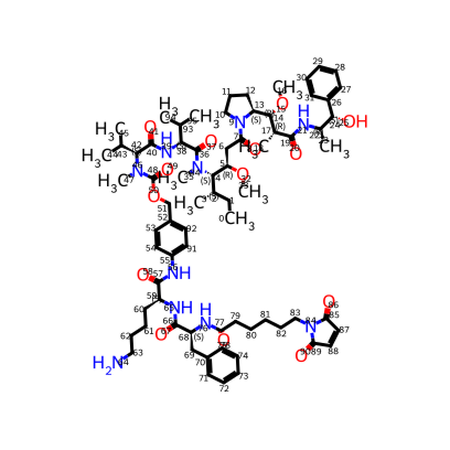 CC[C@H](C)[C@@H]([C@@H](CC(=O)N1CCC[C@H]1[C@H](OC)[C@@H](C)C(=O)N[C@H](C)[C@@H](O)c1ccccc1)OC)N(C)C(=O)[C@@H](NC(=O)[C@H](C(C)C)N(C)C(=O)OCc1ccc(NC(=O)[C@H](CCCCN)NC(=O)[C@H](Cc2ccccc2)NC(=O)CCCCCN2C(=O)C=CC2=O)cc1)C(C)C